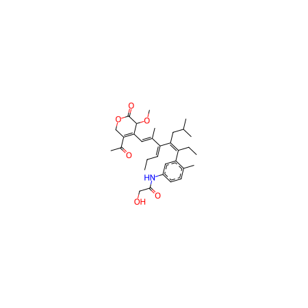 CC/C=C(C(/CC(C)C)=C(/CC)c1cc(NC(=O)CO)ccc1C)\C(C)=C\C1=C(C(C)=O)COC(=O)C1OC